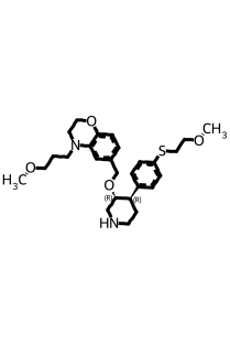 COCCCN1CCOc2ccc(CO[C@H]3CNCC[C@@H]3c3ccc(SCCOC)cc3)cc21